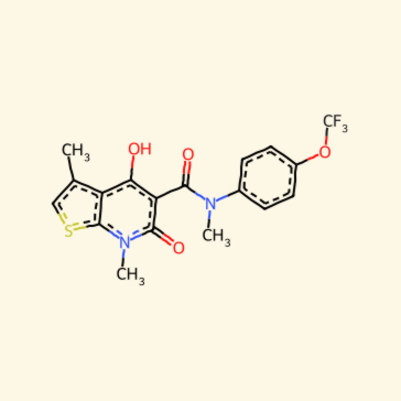 Cc1csc2c1c(O)c(C(=O)N(C)c1ccc(OC(F)(F)F)cc1)c(=O)n2C